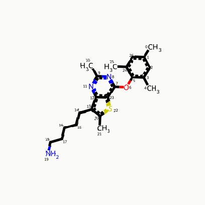 Cc1cc(C)c(Oc2nc(C)nc3c(CCCCCN)c(C)sc23)c(C)c1